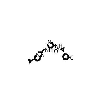 O=C(Nc1cncc(NCc2cn3cc(C4CC4)ccc3n2)c1)[C@H]1C[C@@H]1c1cccc(Cl)c1